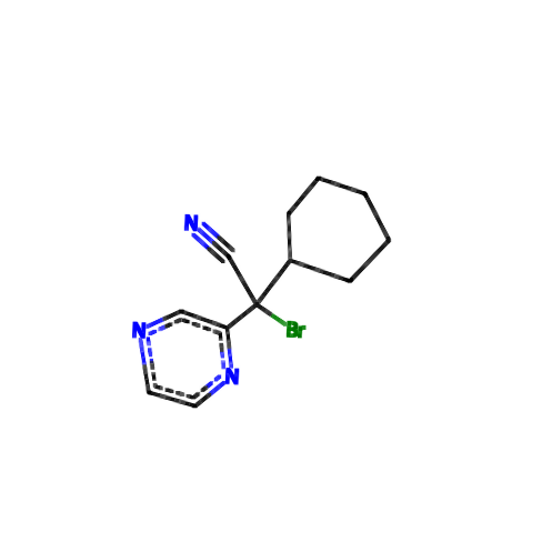 N#CC(Br)(c1cnccn1)C1CCCCC1